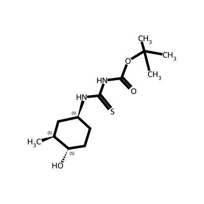 C[C@H]1C[C@@H](NC(=S)NC(=O)OC(C)(C)C)CC[C@@H]1O